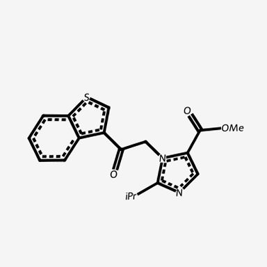 COC(=O)c1cnc(C(C)C)n1CC(=O)c1csc2ccccc12